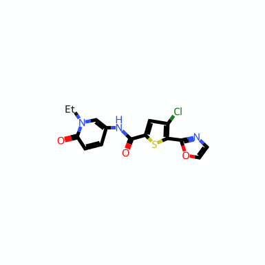 CCn1cc(NC(=O)c2cc(Cl)c(-c3ncco3)s2)ccc1=O